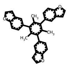 Cc1c(-c2ccc3occc3c2)c(C)c(-c2ccc3occc3c2)c(C)c1-c1ccc2occc2c1